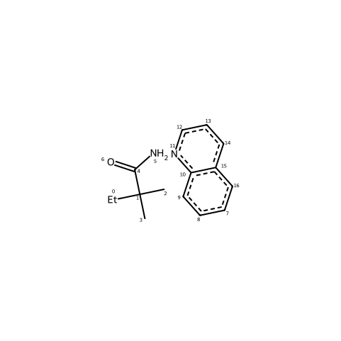 CCC(C)(C)C(N)=O.c1ccc2ncccc2c1